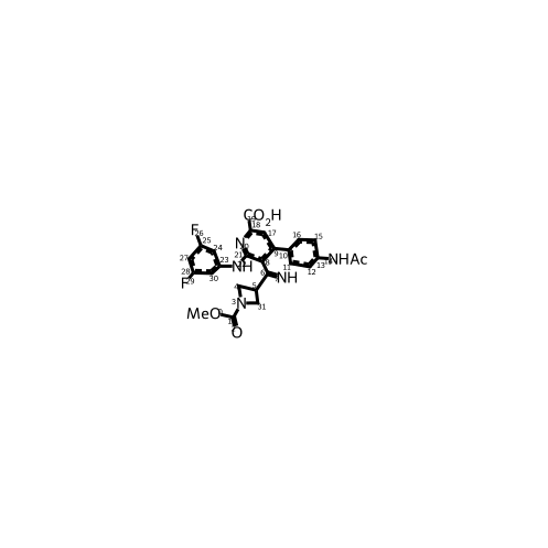 COC(=O)N1CC(C(=N)c2c(-c3ccc(NC(C)=O)cc3)cc(C(=O)O)nc2Nc2cc(F)cc(F)c2)C1